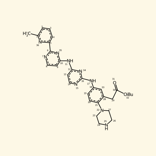 Cc1cccc(-c2nccc(Nc3ccnc(Nc4ccc(N5CCNCC5)c(CC(=O)OCC(C)C)c4)n3)n2)n1